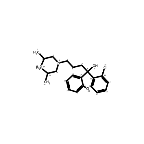 CC(C)CN(CCCC(O)(c1ccccc1Cl)c1ccccc1Cl)CC(C)C